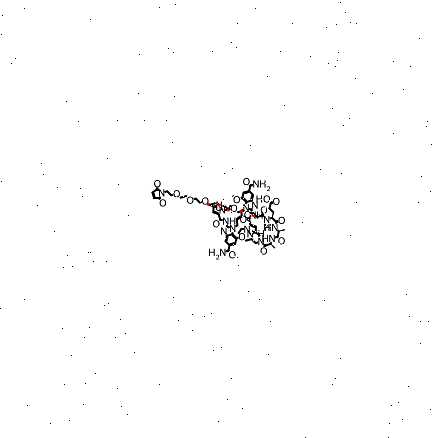 CCn1nc(C)cc1C(=O)Nc1nc2cc(C(N)=O)cc(OC)c2n1C/C=C/Cn1c(NC(=O)c2cc(C)nn2CC)nc2cc(C(N)=O)cc(OCCCNC(=O)[C@H](C)NC(=O)[C@H](C)NC(=O)[C@H](CCC(=O)O)NC(=O)CCOCCOCCOCCOCCOCCOCCN3C(=O)C=CC3=O)c21